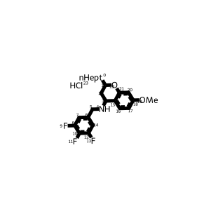 CCCCCCCC1CC(NCc2cc(F)c(F)c(F)c2)c2ccc(OC)cc2O1.Cl